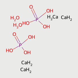 O.O.O=P(O)(O)O.O=P(O)(O)O.[CaH2].[CaH2].[CaH2].[CaH2]